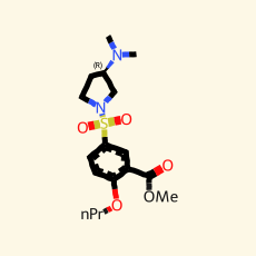 CCCOc1ccc(S(=O)(=O)N2CC[C@@H](N(C)C)C2)cc1C(=O)OC